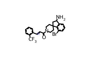 NC1CC2(CCN(C(=O)/C=C/c3ccccc3C(F)(F)F)CC2)c2c(Br)cccc21